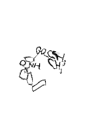 CC(C)COC1OC1c1ccc2c(c1)NC[C@@]1(CCCc3cc(Cl)ccc31)CO2